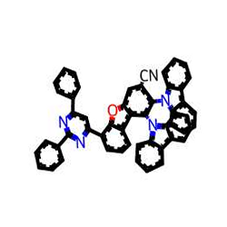 N#Cc1cc2oc3c(-c4cc(-c5ccccc5)nc(-c5ccccc5)n4)cccc3c2c(-n2c3ccccc3c3ccccc32)c1-n1c2ccccc2c2ccccc21